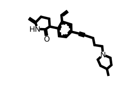 C=Cc1cc(C#CCCCN2CCC(C)CC2)ccc1C1CCC(=C)NC1=O